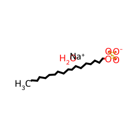 CCCCCCCCCCCCCCCCCCOS(=O)(=O)[O-].O.[Na+]